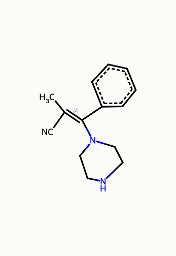 C/C(C#N)=C(\c1ccccc1)N1CCNCC1